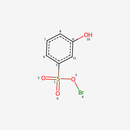 O=S(=O)(OBr)c1cccc(O)c1